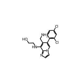 NCc1c(-c2ccc(Cl)cc2Cl)cn2ccnc2c1NCCO